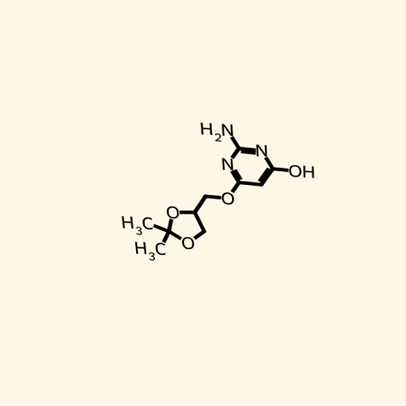 CC1(C)OCC(COc2cc(O)nc(N)n2)O1